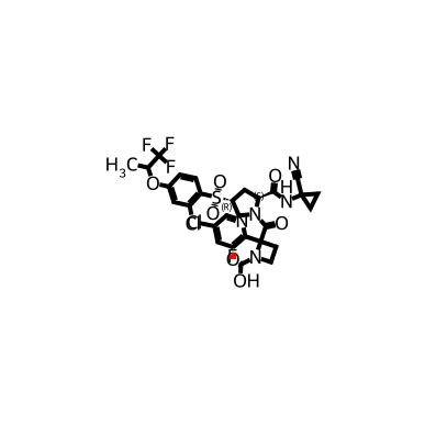 CC(Oc1ccc(S(=O)(=O)[C@@H]2C[C@@H](C(=O)NC3(C#N)CC3)N(C(=O)C3(c4ncc(Cl)cc4F)CCN3C(=O)O)C2)c(Cl)c1)C(F)(F)F